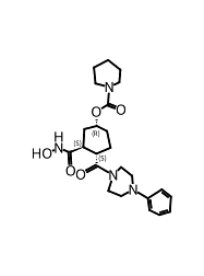 O=C(NO)[C@H]1C[C@H](OC(=O)N2CCCCC2)CC[C@@H]1C(=O)N1CCN(c2ccccc2)CC1